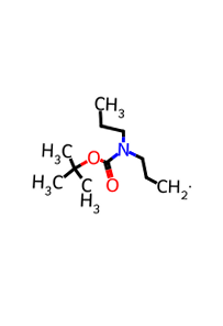 [CH2]CCN(CCC)C(=O)OC(C)(C)C